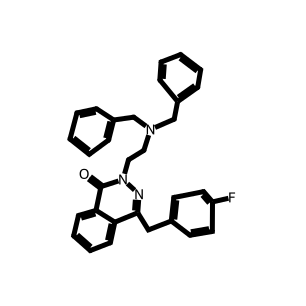 O=c1c2ccccc2c(Cc2ccc(F)cc2)nn1CCN(Cc1ccccc1)Cc1ccccc1